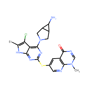 CCc1[nH]c2nc(Sc3cnc4c(c3)c(=O)ncn4C)nc(N3CC4C(N)C4C3)c2c1Cl